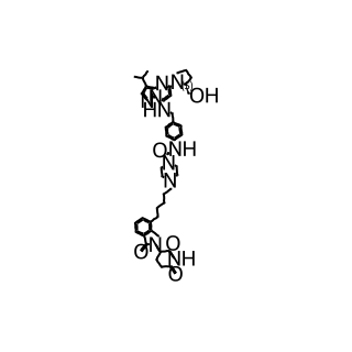 CC(C)c1cnn2c(NCc3ccc(NC(=O)N4CCN(CCCCCc5cccc6c5CN(C5CCC(=O)NC5=O)C6=O)CC4)cc3)cc(N3CCC[C@H]3CO)nc12